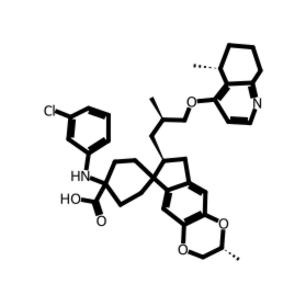 C[C@@H](COc1ccnc2c1[C@H](C)CCC2)C[C@H]1Cc2cc3c(cc2C12CCC(Nc1cccc(Cl)c1)(C(=O)O)CC2)OC[C@@H](C)O3